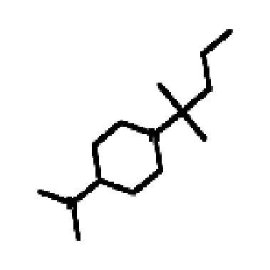 CCCC(C)(C)N1CCC(N(C)C)CC1